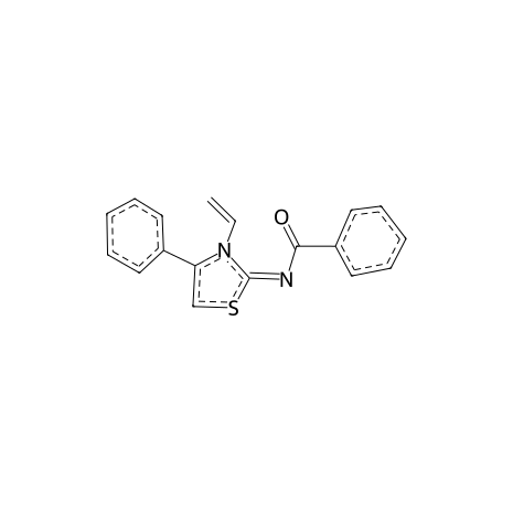 C=Cn1c(-c2ccccc2)cs/c1=N/C(=O)c1ccccc1